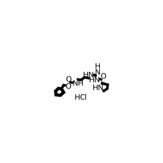 Cl.N=C(NCCCCNC(=O)OCc1ccccc1)NC(=O)[C@@H]1CCCN1